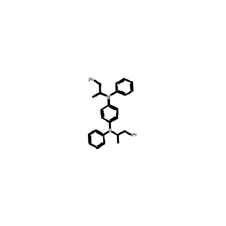 CC(C)CC(C)N(c1ccccc1)c1ccc(N(c2ccccc2)C(C)CC(C)C)cc1